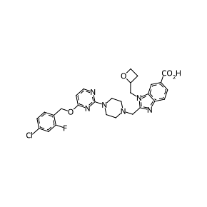 O=C(O)c1ccc2nc(CN3CCN(c4nccc(OCc5ccc(Cl)cc5F)n4)CC3)n(CC3CCO3)c2c1